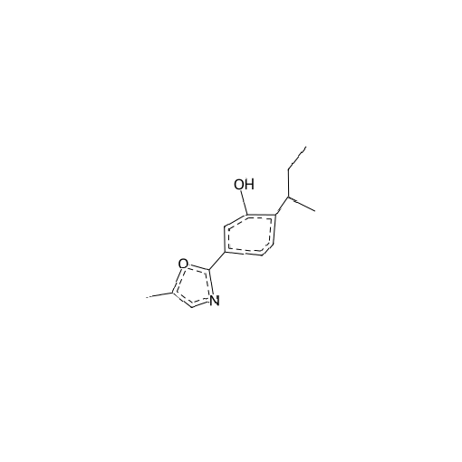 CCC(C)c1ccc(-c2ncc(C)o2)cc1O